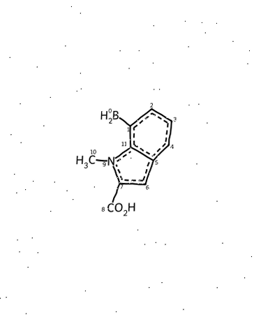 Bc1cccc2cc(C(=O)O)n(C)c12